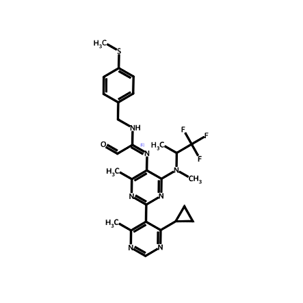 CSc1ccc(CN/C(C=O)=N/c2c(C)nc(-c3c(C)ncnc3C3CC3)nc2N(C)C(C)C(F)(F)F)cc1